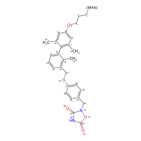 CC(=O)NCCCOc1cc(C)c(-c2cccc(COc3ccc(Cn4oc(=O)[nH]c4=O)cc3)c2C)c(C)c1